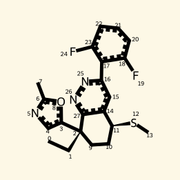 CC[C@]1(c2cnc(C)o2)CC[C@H](SC)c2cc(-c3c(F)cccc3F)nnc21